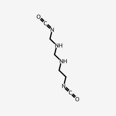 O=C=NCCNCNCN=C=O